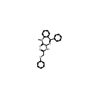 CN1C(=O)[C@H](NC(=O)COc2ccccc2)N=C(c2ccccc2)c2ccccc21